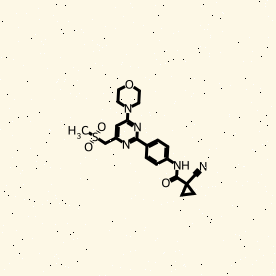 CS(=O)(=O)Cc1cc(N2CCOCC2)nc(-c2ccc(NC(=O)C3(C#N)CC3)cc2)n1